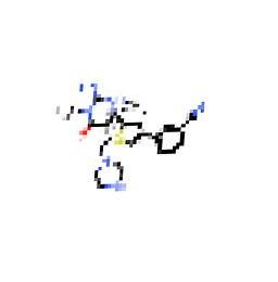 CN1C(=N)N[C@](C)(c2cc(-c3cccc(C#N)c3)cs2)[C@H](CCN2CCNCC2)C1=O